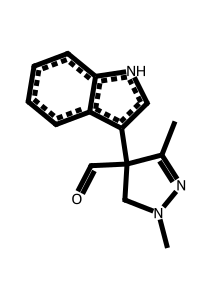 CC1=NN(C)CC1(C=O)c1c[nH]c2ccccc12